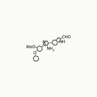 COc1cc(-n2ncc(-c3ccc4[nH]c(C=O)cc4c3)c2N)ccc1Oc1ccccc1